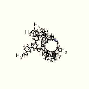 COc1cccc(-c2cc(O[C@@H]3C[C@H]4C(=O)N[C@]5(C(=O)NS(=O)(=O)C6(C)CC6)C[C@H]5/C=C\CC[C@@H](C)C[C@@H](C)[C@H](N(C(=O)O)C(C)(C)C(F)(F)F)C(=O)N4C3)cc(-c3ccc(OC(C)C)cc3)n2)n1